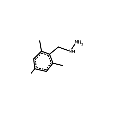 Cc1cc(C)c(CNN)c(C)c1